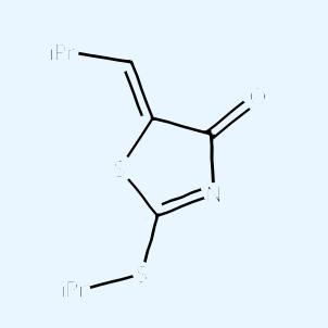 CC(C)/C=C1\SC(SC(C)C)=NC1=O